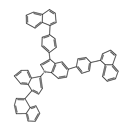 c1ccc2c(-c3ccc(-c4ccc5c(c4)c(-c4ccc(-c6cccc7ccccc67)cc4)cn5-c4ccc(-c5cccc6ccccc56)c5ccccc45)cc3)cccc2c1